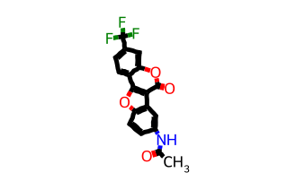 CC(=O)Nc1ccc2oc3c4ccc(C(F)(F)F)cc4oc(=O)c3c2c1